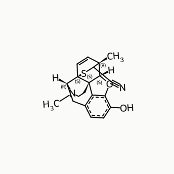 CN1CC[C@]23c4c5ccc(O)c4O[C@H]2[C@@]2(C)C=C[C@@]3(SC2C#N)[C@H]1C5